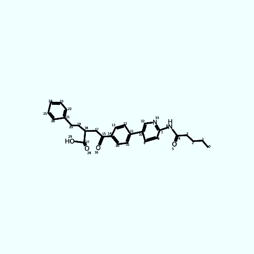 CCCCC(=O)Nc1ccc(-c2ccc(C(=O)CC(CCc3ccccc3)C(=O)O)cc2)cn1